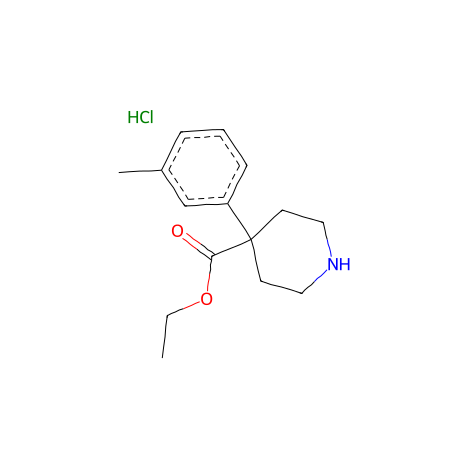 CCOC(=O)C1(c2cccc(C)c2)CCNCC1.Cl